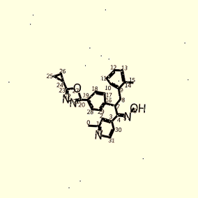 Cc1cc(/C(=N/O)C(Cc2ccccc2C)c2ccc(-c3nnc(C4CC4)o3)cc2)ccn1